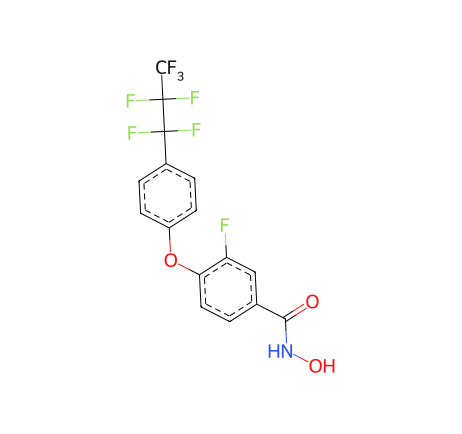 O=C(NO)c1ccc(Oc2ccc(C(F)(F)C(F)(F)C(F)(F)F)cc2)c(F)c1